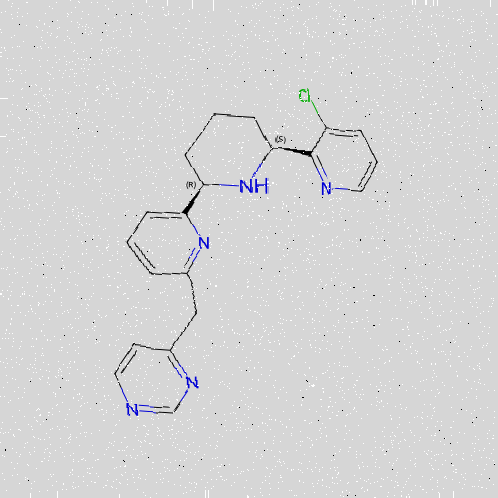 Clc1cccnc1[C@@H]1CCC[C@H](c2cccc(Cc3ccncn3)n2)N1